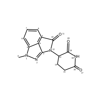 Cn1nc2c3c(cccc31)C(=O)N2C1CCC(=O)NC1=O